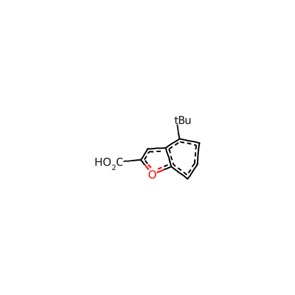 CC(C)(C)c1cccc2oc(C(=O)O)cc12